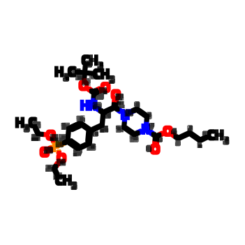 CCCCOC(=O)N1CCN(C(=O)C(Cc2ccc(P(=O)(OCC)OCC)cc2)NC(=O)OC(C)(C)C)CC1